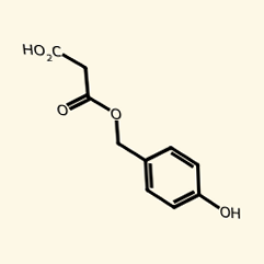 O=C(O)CC(=O)OCc1ccc(O)cc1